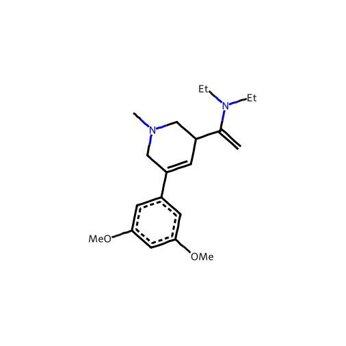 C=C(C1C=C(c2cc(OC)cc(OC)c2)CN(C)C1)N(CC)CC